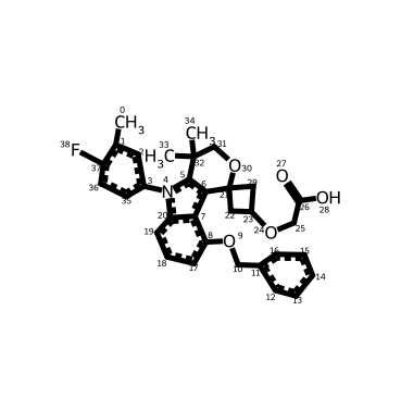 Cc1cc(-n2c3c(c4c(OCc5ccccc5)cccc42)C2(CC(OCC(=O)O)C2)OCC3(C)C)ccc1F